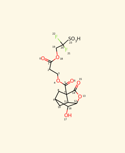 O=C(CCOC(=O)C12CC3CC1C(OC2=O)C3O)OCC(F)(F)S(=O)(=O)O